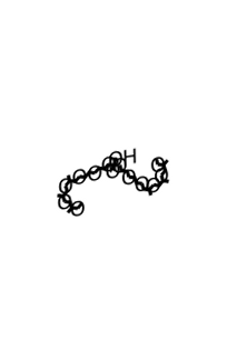 COC(C)COC(C)COC(C)COCCOCCOP(=O)(O)OCCOCCOCC(C)OCC(C)OCC(C)OC